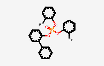 CC(C)c1ccccc1OP(=O)(Oc1ccccc1-c1ccccc1)Oc1ccccc1C(C)C